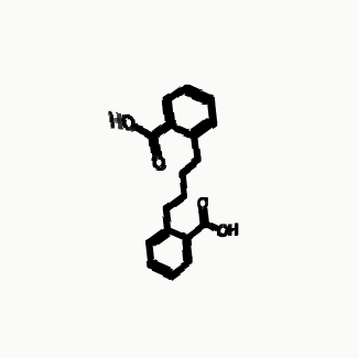 O=C(O)c1ccccc1CCCCc1ccccc1C(=O)O